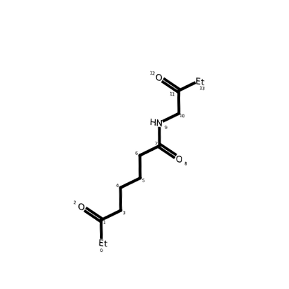 CCC(=O)CCCCC(=O)NCC(=O)CC